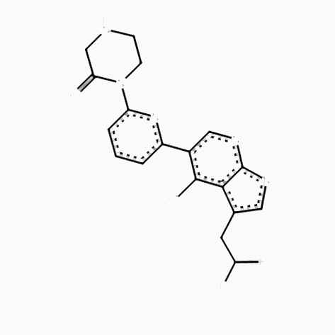 O=C1CNCCN1c1cccc(-c2cnc3[nH]cc(CC(F)F)c3c2Cl)n1